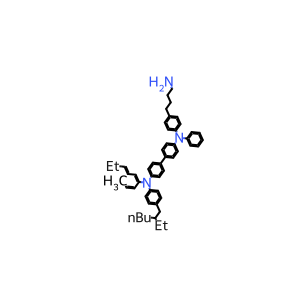 C/C=C\C(=C/C=CCC)N(c1ccc(CC(CC)CCCC)cc1)c1ccc(-c2ccc(N(c3ccccc3)c3ccc(CCCCN)cc3)cc2)cc1